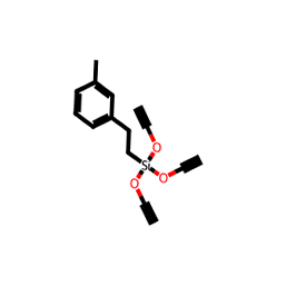 C#CO[Si](CCc1cccc(C)c1)(OC#C)OC#C